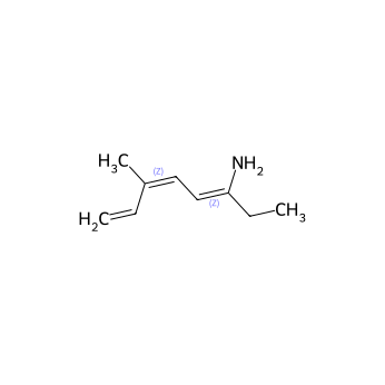 C=C/C(C)=C\C=C(/N)CC